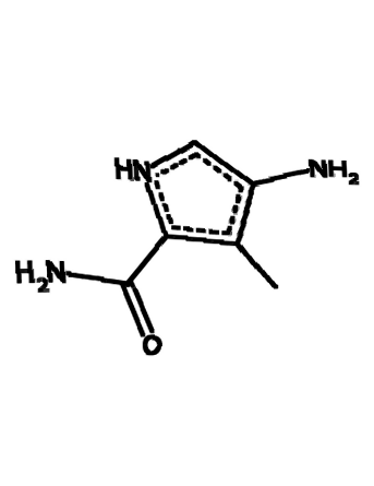 Cc1c(N)c[nH]c1C(N)=O